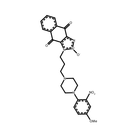 COc1ccc(N2CCN(CCCn3c4c(n[n+]3[O-])C(=O)c3ccccc3C4=O)CC2)c([N+](=O)[O-])c1